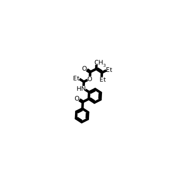 CCC(CC)=C(C)C(=O)OC(CC)Nc1ccccc1C(=O)c1ccccc1